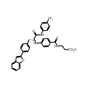 O=C(O)CCNC(=O)c1ccc(N[C@H](Cc2ccc(-c3cc4ccccc4o3)cc2)C(=O)Nc2ccc(C(F)(F)F)cc2)cc1